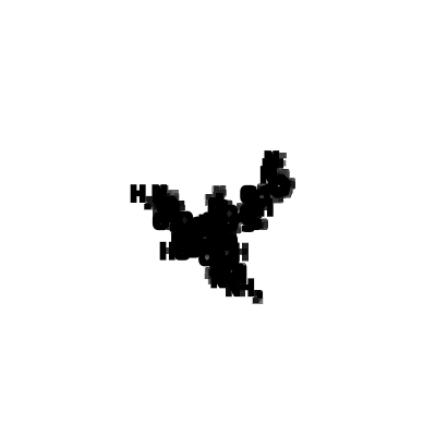 CSSC(CCC(NC(=O)OC(C)(C)C)C(=O)O[C@H]1[C@@H](O)[C@@H](n2cnc3c(N)ncnc32)O[C@H]1COP(=O)(O)O[C@H]1C[C@H](n2ccc(N)nc2=O)O[C@@H]1COP(=O)(O)O)CNC(=O)OCc1ccccc1N=[N+]=[N-]